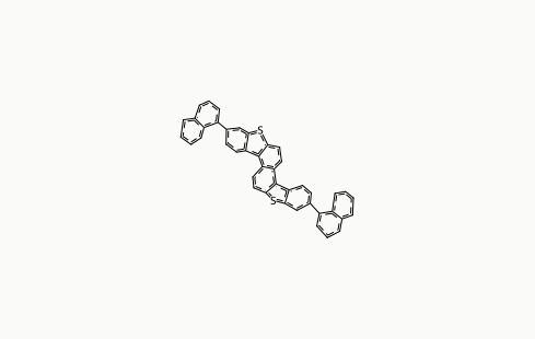 c1ccc2c(-c3ccc4c(c3)sc3ccc5c(ccc6sc7cc(-c8cccc9ccccc89)ccc7c65)c34)cccc2c1